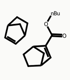 C1=CC2CCC1C2.CCCCOC(=O)C1=CC2CCC1C2